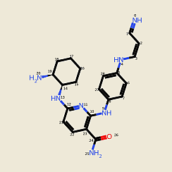 N=C/C=C\Nc1ccc(Nc2nc(N[C@@H]3CCCC[C@@H]3N)ccc2C(N)=O)cc1